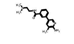 Cc1cc(-c2cccc(C(=O)NCCN(C)C)c2)cnc1N